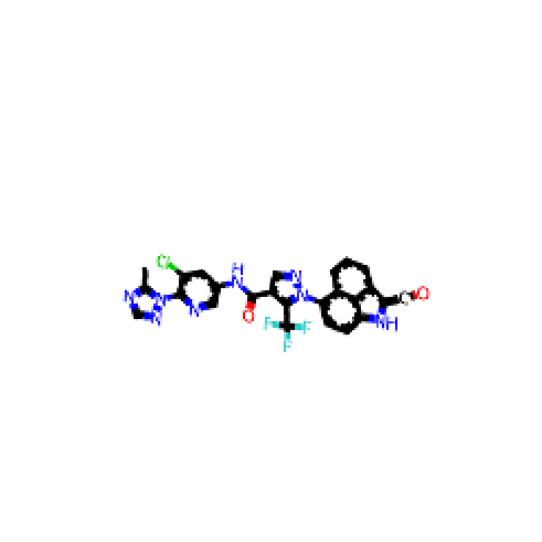 Cc1ncnn1-c1ncc(NC(=O)c2cnn(-c3ccc4[nH]c(=C=O)c5cccc3c45)c2C(F)(F)F)cc1Cl